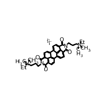 CC[N+](C)(C)CCCN1C(=O)c2ccc3c4ccc5c6c(ccc(c7ccc(c2c37)C1=O)c64)C(=O)N(CCC[N+](C)(C)CC)C5=O.[I-].[I-]